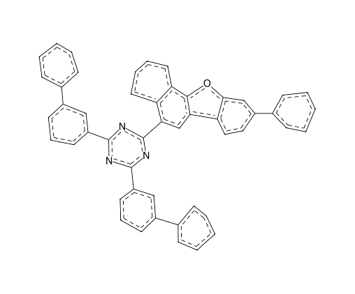 c1ccc(-c2cccc(-c3nc(-c4cccc(-c5ccccc5)c4)nc(-c4cc5c6ccc(-c7ccccc7)cc6oc5c5ccccc45)n3)c2)cc1